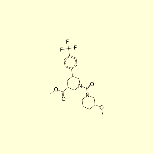 COC(=O)C1CC(c2ccc(C(F)(F)F)cc2)CN(C(=O)N2CCCC(OC)C2)C1